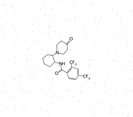 O=C1CCN(C2CCCCC2NC(=O)c2ccc(C(F)(F)F)cc2C(F)(F)F)CC1